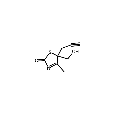 C#CCC1(CO)SC(=O)N=C1C